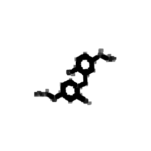 CCCCCOc1ccn(Cc2cc(OCCC)ccc2Cl)c(=O)c1